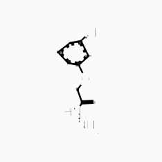 NNC(=O)COc1cccc(Cl)c1